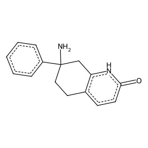 NC1(c2ccccc2)CCc2ccc(=O)[nH]c2C1